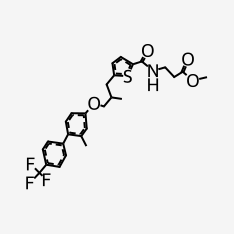 COC(=O)CCNC(=O)c1ccc(CC(C)COc2ccc(-c3ccc(C(F)(F)F)cc3)c(C)c2)s1